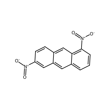 O=[N+]([O-])c1ccc2cc3c([N+](=O)[O-])cccc3cc2c1